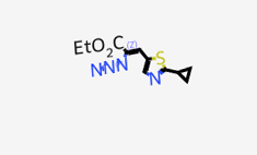 CCOC(=O)/C(=C/c1cnc(C2CC2)s1)N=[N+]=[N-]